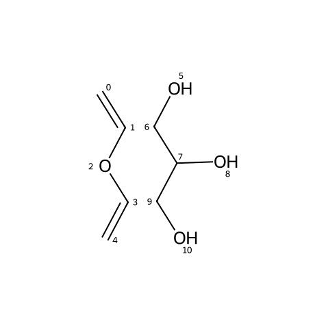 C=COC=C.OCC(O)CO